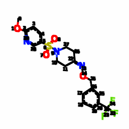 COc1ccc(S(=O)(=O)N2CCC(=NOCc3cccc(C(F)(F)F)c3)CC2)cn1